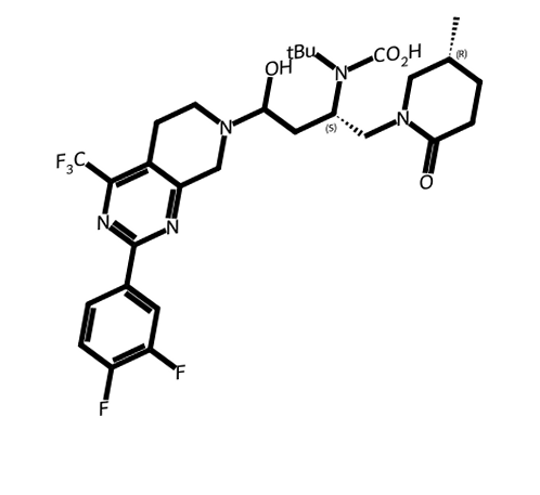 C[C@@H]1CCC(=O)N(C[C@H](CC(O)N2CCc3c(nc(-c4ccc(F)c(F)c4)nc3C(F)(F)F)C2)N(C(=O)O)C(C)(C)C)C1